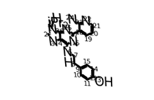 CC(C)n1cnc2c(NCCc3ccc(O)cc3)nc(-c3cccnc3N)nc21